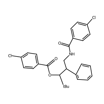 CC(C)(C)C(OC(=O)c1ccc(Cl)cc1)C(CNC(=O)c1ccc(Cl)cc1)c1ccccc1